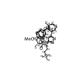 COc1cccc(OC)c1-n1c(-c2cncc(C)c2)nnc1N(CC[Si](C)(C)C)S(=O)(=O)[C@@H](C)[C@H](OC)c1ncc(Cl)cn1